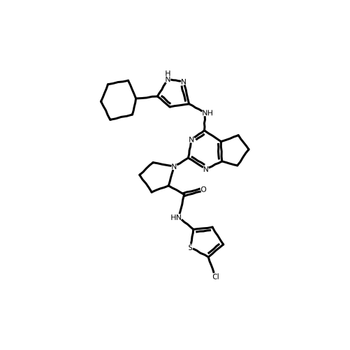 O=C(Nc1ccc(Cl)s1)C1CCCN1c1nc2c(c(Nc3cc(C4CCCCC4)[nH]n3)n1)CCC2